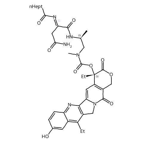 CCCCCCCC(=O)/N=C(\CC(N)=O)C(=O)N[C@@H](C)CN(C)C(=O)O[C@]1(CC)C(=O)OCc2c1cc1n(c2=O)Cc2c-1nc1ccc(O)cc1c2CC